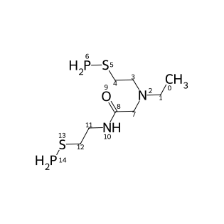 CCN(CCSP)CC(=O)NCCSP